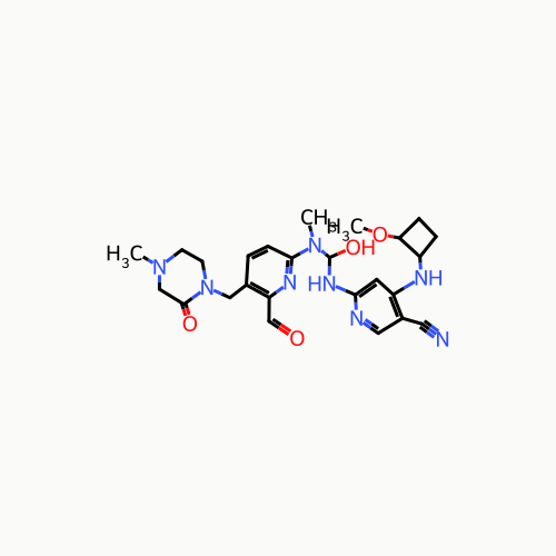 COC1CCC1Nc1cc(NC(O)N(C)c2ccc(CN3CCN(C)CC3=O)c(C=O)n2)ncc1C#N